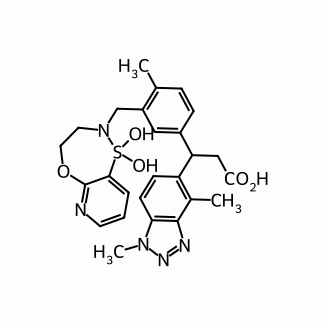 Cc1ccc(C(CC(=O)O)c2ccc3c(nnn3C)c2C)cc1CN1CCOc2ncccc2S1(O)O